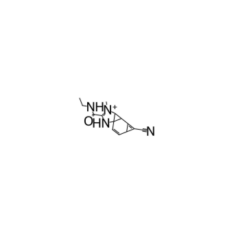 CCNC(=O)C1=[N+](C)C2C3C4=C(C#N)C4C=CC32N1